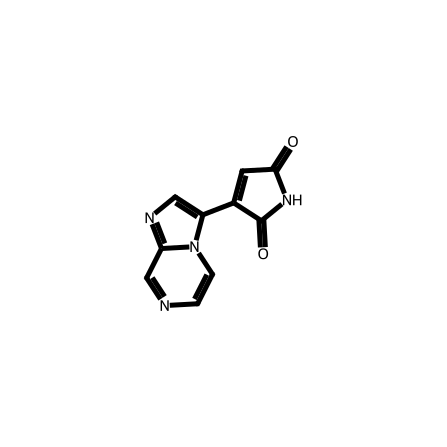 O=C1C=C(c2cnc3cnccn23)C(=O)N1